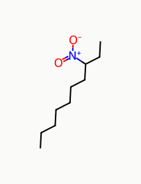 CCCCCCCC(CC)[N+](=O)[O-]